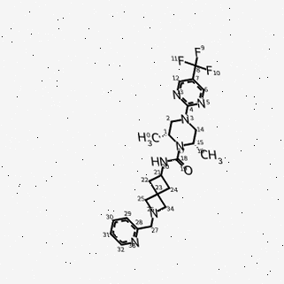 C[C@@H]1CN(c2ncc(C(F)(F)F)cn2)C[C@H](C)N1C(=O)NC1CC2(C1)CN(Cc1ccccn1)C2